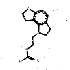 C=C(CC)NCC[C@@H]1CCc2ccc3c(c21)CCO3